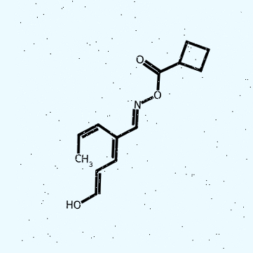 C\C=C/C(/C=N/OC(=O)C1CCC1)=C\C=C\O